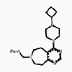 CCCC(C)CN1CCc2ncnc(N3CCN(C4CCC4)CC3)c2CC1